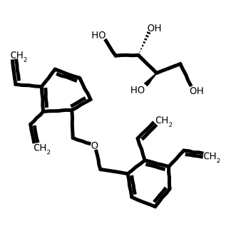 C=Cc1cccc(COCc2cccc(C=C)c2C=C)c1C=C.OC[C@@H](O)[C@@H](O)CO